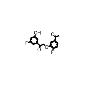 CC(=O)c1ccc(F)c(OCC(=O)c2cc(O)cc(F)c2)c1